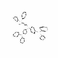 C=C/C(=C\C=C\N(c1ccc(N(C2=CCCC=C2)c2ccccc2)cc1)c1ccc(N(c2ccccc2)c2ccccc2)cc1)N(c1ccccc1)c1ccccc1